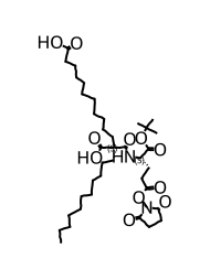 CCCCCCCCCCC[C@@](CCCCCCCCCCC(=O)O)(C(=O)O)C(=O)N[C@@H](CCC(=O)ON1C(=O)CCC1=O)C(=O)OC(C)(C)C